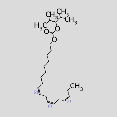 CC/C=C\C/C=C\C/C=C\CCCCCCCCOC(=O)OC(C(C)C)C(C)C